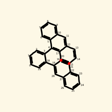 c1ccc(-c2c3ccccc3cc3ccccc23)c(-c2ccc3ccccc3c2)c1